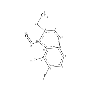 CCc1ccc2ccc(F)c(F)c2c1C=O